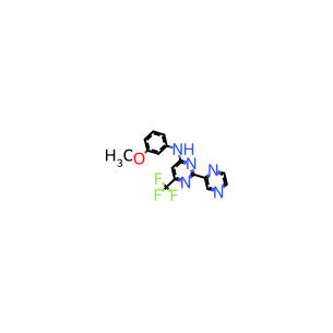 COc1cccc(Nc2cc(C(F)(F)F)nc(-c3cnccn3)n2)c1